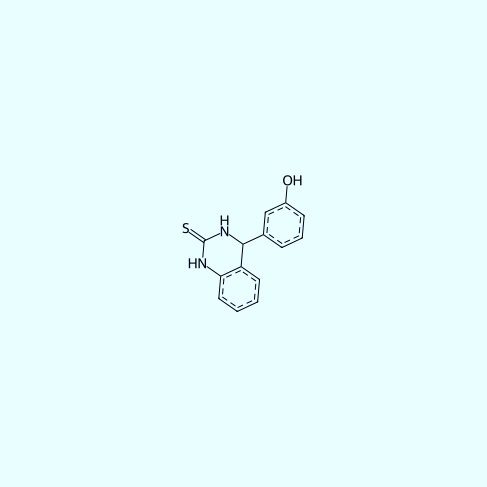 Oc1cccc(C2NC(=S)Nc3ccccc32)c1